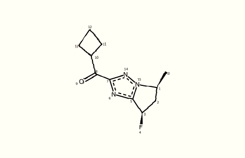 C[C@H]1C[C@@H](F)c2nc(C(=O)C3CCC3)nn21